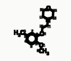 COc1ccc(C)cc1OCCN1CCOCC1